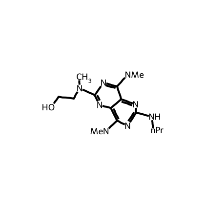 CCCNc1nc(NC)c2nc(N(C)CCO)nc(NC)c2n1